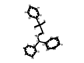 CC(C)(C=NC(c1ccccc1)c1ccccc1)c1ccccc1